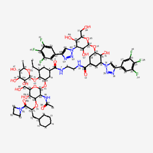 CCC1CC(C(=O)NCCNC(=O)C2CC(n3cc(-c4cc(F)c(F)c(F)c4)nn3)C(O)[C@H](O[C@@H]3OC(CO)[C@H](O)C(n4cc(-c5cc(F)c(F)c(F)c5)nn4)C3O)C2)C[C@@H](O[C@@H]2OC(CO)[C@H](O)C(O[C@@H](CC3CCCCC3)C(=O)N3CCC3)C2NC(C)=O)C1O[C@@H]1OC(C)[C@@H](O)C(O)C1O